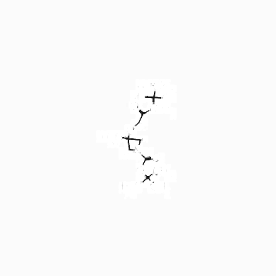 CC(C)(C)OC(=O)COC1(C)CN(C(=O)OC(C)(C)C)C1